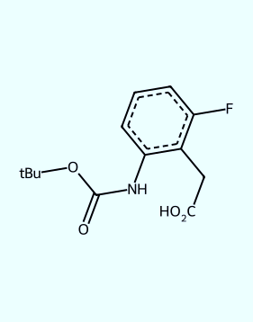 CC(C)(C)OC(=O)Nc1cccc(F)c1CC(=O)O